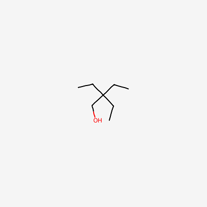 CCC(CC)(CC)CO